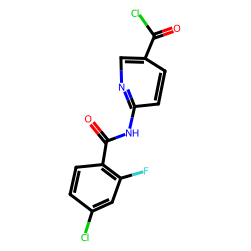 O=C(Cl)c1ccc(NC(=O)c2ccc(Cl)cc2F)nc1